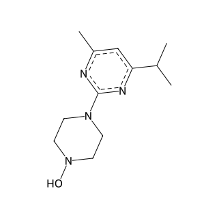 Cc1cc(C(C)C)nc(N2CCN(O)CC2)n1